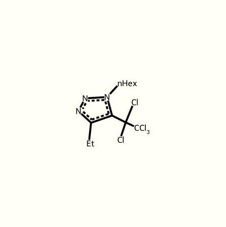 CCCCCCn1nnc(CC)c1C(Cl)(Cl)C(Cl)(Cl)Cl